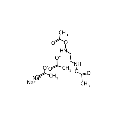 CC(=O)ONCCNOC(C)=O.CC(=O)[O-].CC(=O)[O-].[Na+].[Na+]